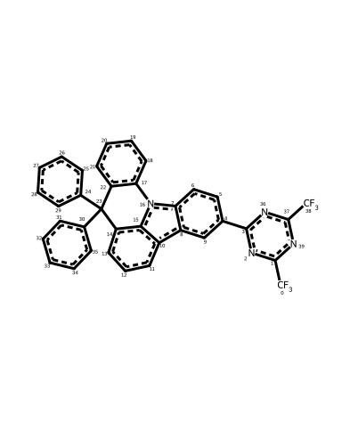 FC(F)(F)c1nc(-c2ccc3c(c2)c2cccc4c2n3-c2ccccc2C4(c2ccccc2)c2ccccc2)nc(C(F)(F)F)n1